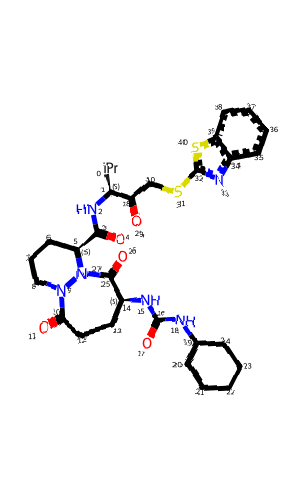 CC(C)[C@H](NC(=O)[C@@H]1CCCN2C(=O)CC[C@H](NC(=O)NC3CCCCC3)C(=O)N12)C(=O)CSc1nc2ccccc2s1